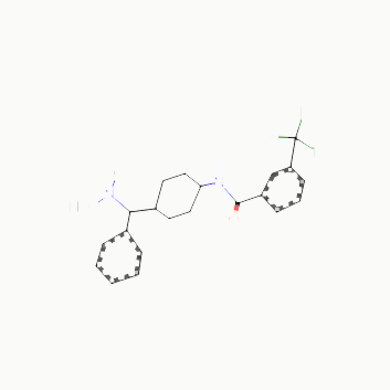 CN(C)C(c1ccccc1)C1CCC(NC(=O)c2cccc(C(F)(F)F)c2)CC1